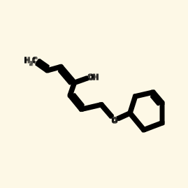 C=C/C=C(O)\C=C/COC1CC=CCC1